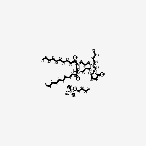 CCCCCCCCCC(=O)NCCC[N+](CCCC)(CCCNC(=O)CCCCCCCCC)CN1CCCC1=O.CCCCOS(=O)(=O)[O-]